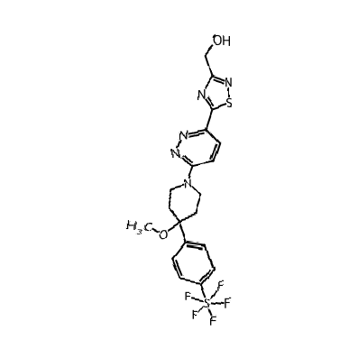 COC1(c2ccc(S(F)(F)(F)(F)F)cc2)CCN(c2ccc(-c3nc(CO)ns3)nn2)CC1